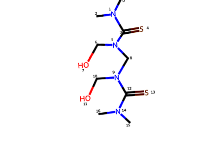 CN(C)C(=S)N(CO)CN(CO)C(=S)N(C)C